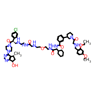 CCOc1cc(OC)ccc1CNCC(=O)N1CCCC(c2cccc(C(=O)N[C@@H](C(=O)NCCOCCNCC(=O)NCCNC[C@@H](C(=O)N3CCN(c4ncnc5c4[C@H](C)C[C@H]5O)CC3)c3ccc(Cl)cc3)C3CCCCC3)c2)C1